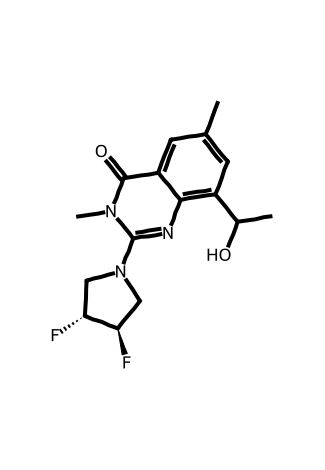 Cc1cc(C(C)O)c2nc(N3C[C@@H](F)[C@H](F)C3)n(C)c(=O)c2c1